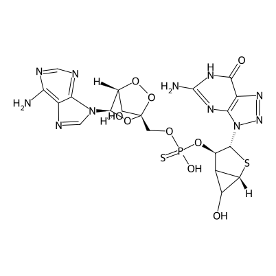 Nc1nc2c(nnn2[C@@H]2S[C@@H]3C(O)C3[C@H]2OP(O)(=S)OC[C@@]23OO[C@@H]([C@H](n4cnc5c(N)ncnc54)O2)[C@@H]3O)c(=O)[nH]1